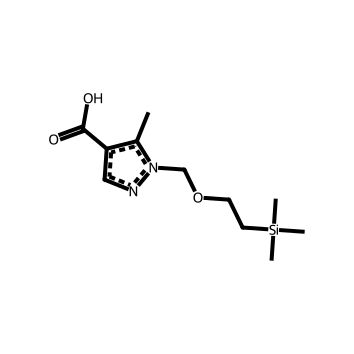 Cc1c(C(=O)O)cnn1COCC[Si](C)(C)C